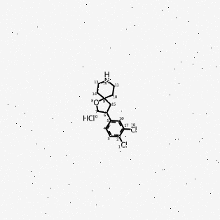 Cl.Clc1ccc(C2COC3(CCNCC3)C2)cc1Cl